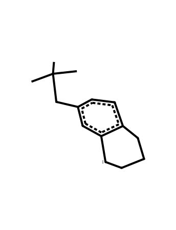 CC(C)(C)Cc1ccc2c(c1)[C]CCC2